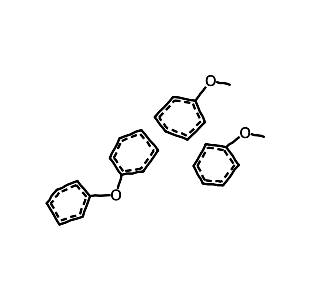 COc1ccccc1.COc1ccccc1.c1ccc(Oc2ccccc2)cc1